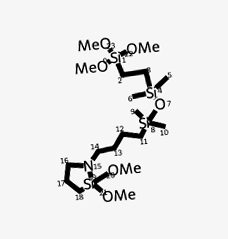 CO[Si](CC[Si](C)(C)O[Si](C)(C)CCCCN1CCC[Si]1(OC)OC)(OC)OC